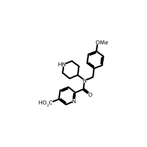 COc1ccc(CN(C(=O)c2ccc(C(=O)O)cn2)C2CCNCC2)cc1